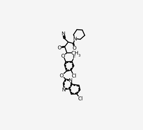 CC(Oc1cc(Oc2cnc3cc(Cl)ccc3n2)c(Cl)cc1F)C(=O)C(C#N)C(=O)N1CCCCC1